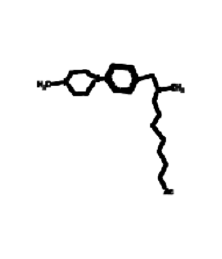 CC(=O)CCCCCCCN(C)Cc1ccc(N2CCN(C)CC2)cc1